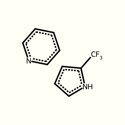 FC(F)(F)c1ccc[nH]1.c1ccncc1